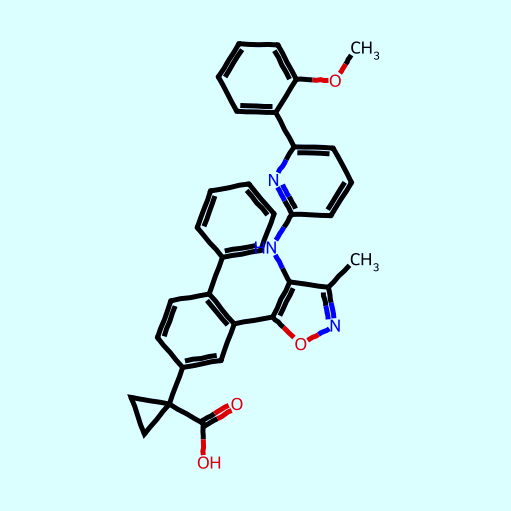 COc1ccccc1-c1cccc(Nc2c(C)noc2-c2cc(C3(C(=O)O)CC3)ccc2-c2ccccc2)n1